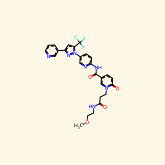 COCCNC(=O)CCn1cc(C(=O)Nc2ccc(-n3nc(-c4cccnc4)cc3C(F)(F)F)cn2)ccc1=O